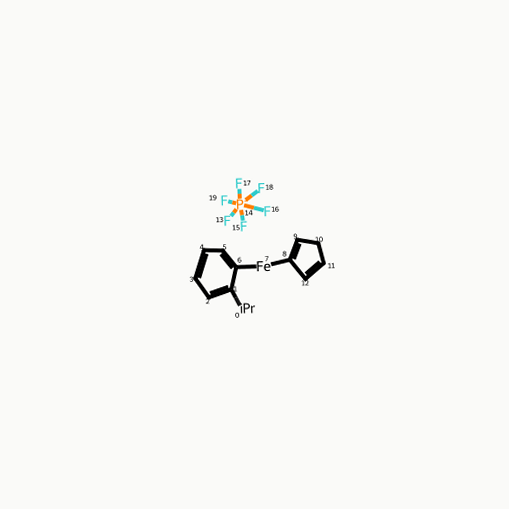 CC(C)c1cccc[c]1[Fe][C]1=CCC=C1.F[P-](F)(F)(F)(F)F